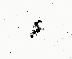 Cc1ccc(-c2ccnc3[nH]c(-c4n[nH]c5ccc(-c6cncc(NC(=O)C(C)(C)C)c6)cc45)nc23)s1